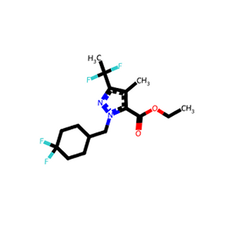 CCOC(=O)c1c(C)c(C(C)(F)F)nn1CC1CCC(F)(F)CC1